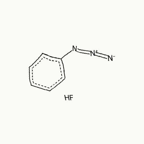 F.[N-]=[N+]=Nc1ccccc1